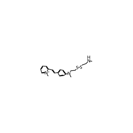 CNCCSSCCN(C)c1ccc(/C=C/c2cccc[n+]2C)cc1